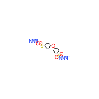 [N-]=[N+]=NOOSc1ccc(Oc2ccc(S(=O)(=O)N=[N+]=[N-])cc2)cc1